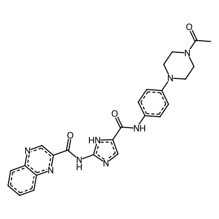 CC(=O)N1CCN(c2ccc(NC(=O)c3cnc(NC(=O)c4cnc5ccccc5n4)[nH]3)cc2)CC1